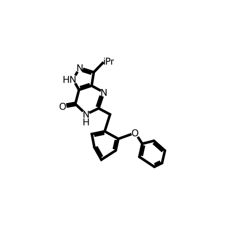 CC(C)c1n[nH]c2c(=O)[nH]c(Cc3ccccc3Oc3ccccc3)nc12